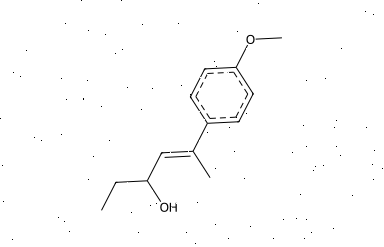 CCC(O)/C=C(\C)c1ccc(OC)cc1